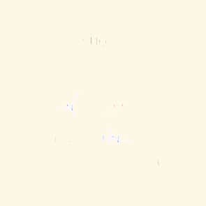 CC(C)CNC(=O)C(C)N1CCCC(C=O)C1